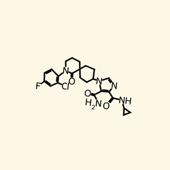 NC(=O)c1c(C(=O)NC2CC2)ncn1C1CCC2(CCCN(c3ccc(F)cc3Cl)C2=O)CC1